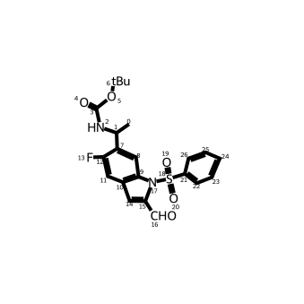 CC(NC(=O)OC(C)(C)C)c1cc2c(cc1F)cc(C=O)n2S(=O)(=O)c1ccccc1